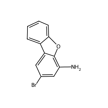 Nc1cc(Br)cc2c1oc1ccccc12